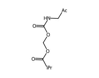 [CH2]C(=O)CNC(=O)OCOC(=O)C(C)C